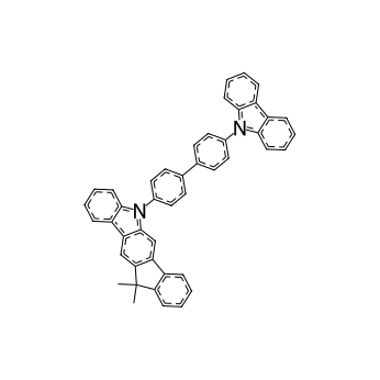 CC1(C)c2ccccc2-c2cc3c(cc21)c1ccccc1n3-c1ccc(-c2ccc(-n3c4ccccc4c4ccccc43)cc2)cc1